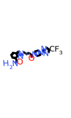 NC(=O)c1cccc2cn(C/C=C/C(=O)N3CCN(c4ncc(C(F)(F)F)cn4)CC3)nc12